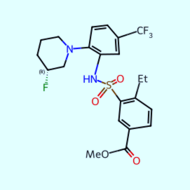 CCc1ccc(C(=O)OC)cc1S(=O)(=O)Nc1cc(C(F)(F)F)ccc1N1CCC[C@@H](F)C1